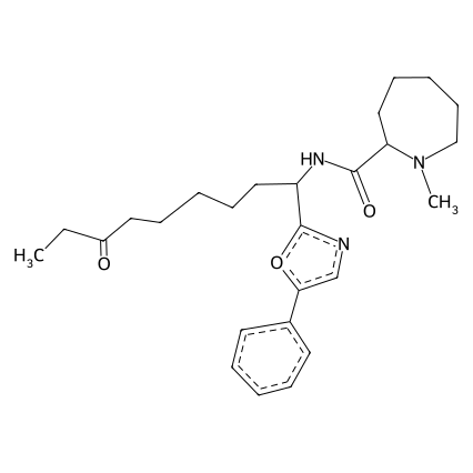 CCC(=O)CCCCCC(NC(=O)C1CCCCCN1C)c1ncc(-c2ccccc2)o1